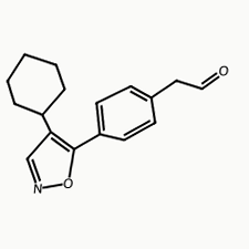 O=CCc1ccc(-c2oncc2C2CCCCC2)cc1